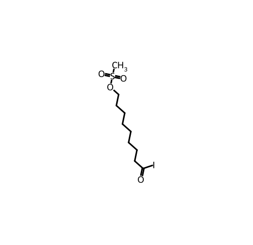 CS(=O)(=O)OCCCCCCCCC(=O)I